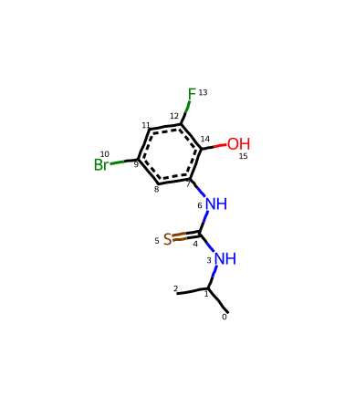 CC(C)NC(=S)Nc1cc(Br)cc(F)c1O